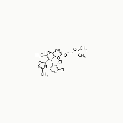 CC1=C(OC(=O)OCCOC(C)C)C(c2cccc(Cl)c2Cl)C(c2nc(C)no2)=C(C)N1